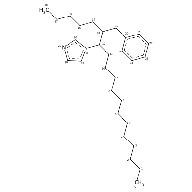 CCCCCCCCCCCCC(C(CCCCC)Cc1ccccc1)n1ccnc1